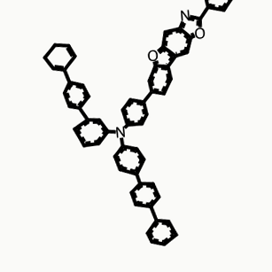 C1=CC(c2ccc(-c3cccc(N(c4ccc(-c5ccc(-c6ccccc6)cc5)cc4)c4ccc(-c5ccc6c(c5)oc5cc7nc(-c8ccccc8)oc7cc56)cc4)c3)cc2)=CCC1